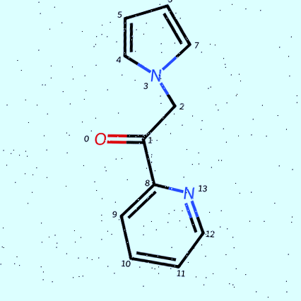 O=C(Cn1cccc1)c1ccccn1